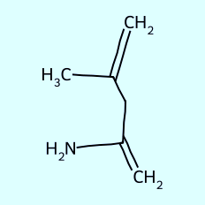 C=C(C)CC(=C)N